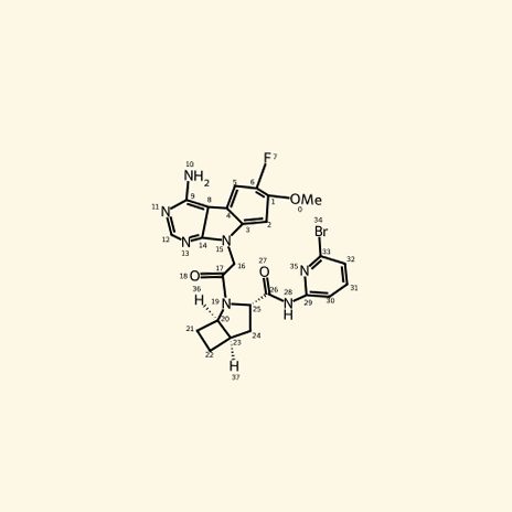 COc1cc2c(cc1F)c1c(N)ncnc1n2CC(=O)N1[C@@H]2CC[C@@H]2C[C@H]1C(=O)Nc1cccc(Br)n1